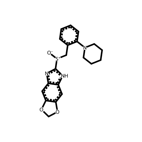 [O-][S+](Cc1ccccc1N1CCCCC1)c1nc2cc3c(cc2[nH]1)OCO3